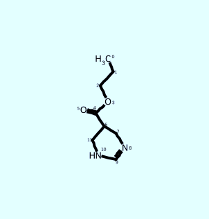 CCCOC(=O)C1CN=CNC1